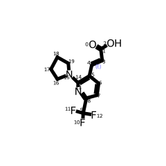 O=C(O)/C=C/c1ccc(C(F)(F)F)nc1N1CCCC1